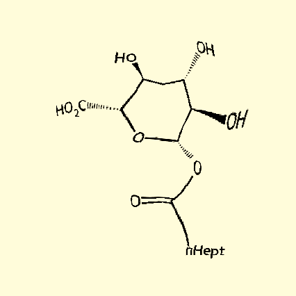 CCCCCCCC(=O)O[C@@H]1O[C@H](C(=O)O)[C@@H](O)[C@H](O)[C@H]1O